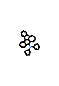 C1=CCC(N(c2ccccc2)c2c3c4c(c5ccccc25)-c2ccccc2C4=CCC=C3)C=C1